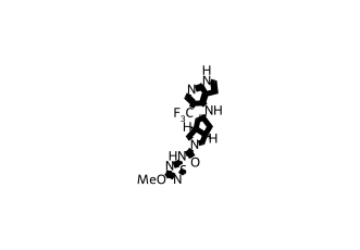 COc1nsc(NC(=O)N2C[C@H]3C[C@@H](Nc4c(C(F)(F)F)cnc5[nH]ccc45)C[C@H]3C2)n1